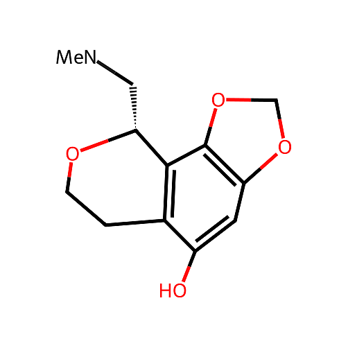 CNC[C@H]1OCCc2c(O)cc3c(c21)OCO3